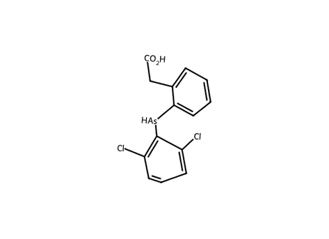 O=C(O)Cc1ccccc1[AsH]c1c(Cl)cccc1Cl